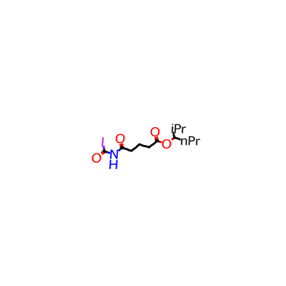 CCCC(OC(=O)CCCC(=O)NC(=O)I)C(C)C